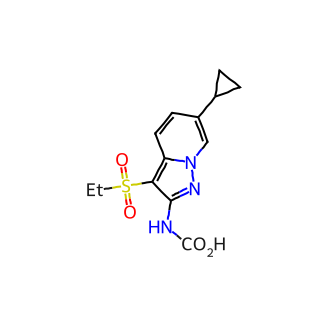 CCS(=O)(=O)c1c(NC(=O)O)nn2cc(C3CC3)ccc12